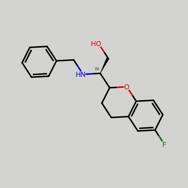 OC[C@H](NCc1ccccc1)C1CCc2cc(F)ccc2O1